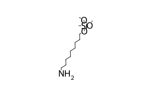 CO[Si](C)(OC)OCCCCCCCCCN